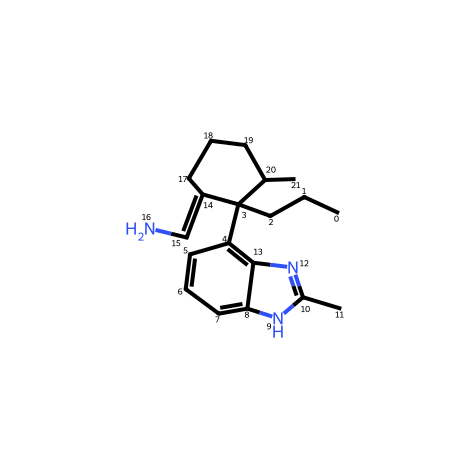 CCCC1(c2cccc3[nH]c(C)nc23)/C(=C/N)CCCC1C